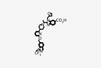 CC(c1nc2ccc(C(=O)O)cc2n1CC1CCO1)N1CCC(c2cccc(OCc3ccc4cnn(CC(F)(F)F)c4c3)n2)CC1